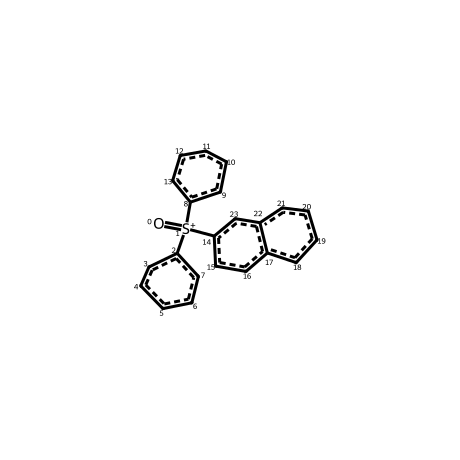 O=[S+](c1ccccc1)(c1ccccc1)c1ccc2ccccc2c1